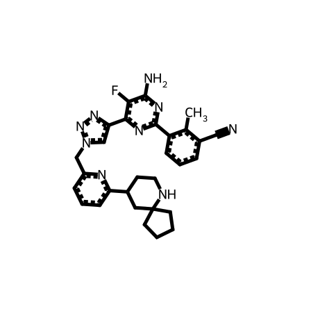 Cc1c(C#N)cccc1-c1nc(N)c(F)c(-c2cn(Cc3cccc(C4CCNC5(CCCC5)C4)n3)nn2)n1